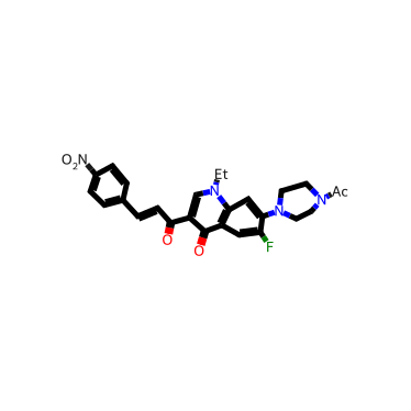 CCn1cc(C(=O)C=Cc2ccc([N+](=O)[O-])cc2)c(=O)c2cc(F)c(N3CCN(C(C)=O)CC3)cc21